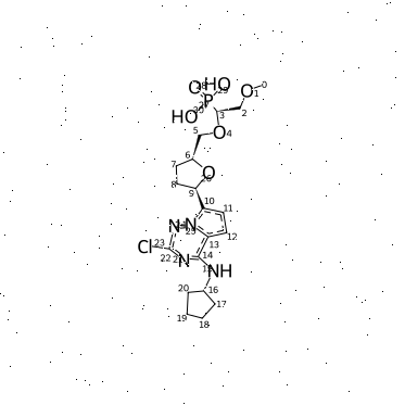 COC[C@@H](OC[C@@H]1CC[C@H](c2ccc3c(NC4CCCC4)nc(Cl)nn23)O1)P(=O)(O)O